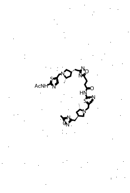 CC(=O)Nc1ncc(CN2C[C@H](Cc3noc(CCC(=O)Nc4ncc(CN5C[C@@H](Cc6noc(C)n6)C[C@@H]5C)s4)n3)C[C@@H]2C)s1